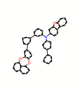 c1ccc(-c2ccc(N(c3cccc(-c4cccc(-c5ccc6c(c5)Oc5cccc7cccc(c57)O6)c4)c3)c3ccc4c(c3)oc3ccccc34)cc2)cc1